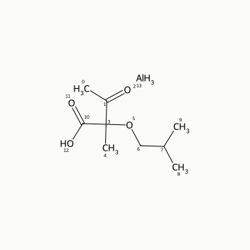 CC(=O)C(C)(OCC(C)C)C(=O)O.[AlH3]